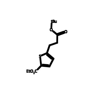 CCOC(=O)c1ccc(CCC(=O)OC(C)(C)C)s1